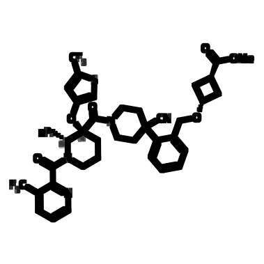 CCC[C@H]1N(C(=O)c2ncccc2C(F)(F)F)CCC[C@@]1(Oc1csc(C(F)(F)F)c1)C(=O)N1CCC(C#N)(c2ccccc2CO[C@H]2C[C@H](C(=O)OC)C2)CC1